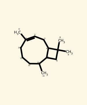 CC1=CCC2C(CC2(C)C)C(C)CCC1